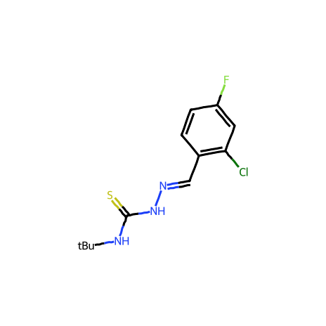 CC(C)(C)NC(=S)N/N=C/c1ccc(F)cc1Cl